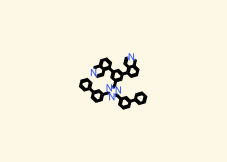 c1ccc(-c2cccc(-c3nc(-c4cccc(-c5ccccc5)c4)nc(-c4cc(-c5cccc6cnccc56)cc(-c5cccc6cnccc56)c4)n3)c2)cc1